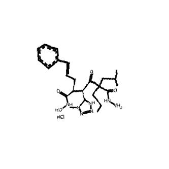 CCCC(CC(C)C)(C(=O)NN)C(=O)[C@@H](C1NN=NN1C)[C@H](C/C=C/c1ccccc1)C(=O)NO.Cl